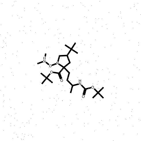 CC(CCC1(C(=O)OC(C)(C)C)CC(C(C)(C)C)CN1O[SiH](C)C)NC(=O)OC(C)(C)C